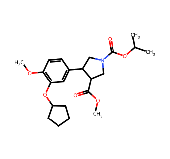 COC(=O)C1CN(C(=O)OC(C)C)CC1c1ccc(OC)c(OC2CCCC2)c1